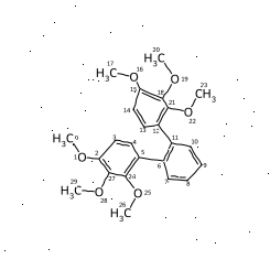 COc1ccc(-c2[c]cccc2-c2ccc(OC)c(OC)c2OC)c(OC)c1OC